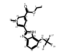 CCOC(=O)C1=CC(c2nc3cccc(SC(F)(F)F)c3[nH]2)=CN(C)C1